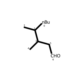 CCCCC(C)C(C)CC=O